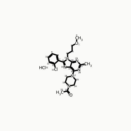 COCCCn1c(-c2ccccc2Cl)nc2c(N3CCN(C(C)=O)CC3)nc(C)nc21.Cl